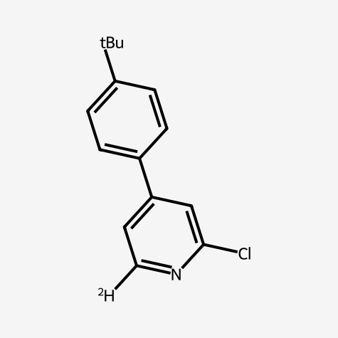 [2H]c1cc(-c2ccc(C(C)(C)C)cc2)cc(Cl)n1